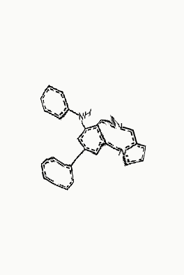 c1ccc(Nc2cc(-c3ccccc3)cc3c2ncc2cccn23)cc1